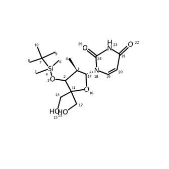 C[C@@H]1C(O[Si](C)(C)C(C)(C)C)C(CO)(CO)O[C@H]1n1ccc(=O)[nH]c1=O